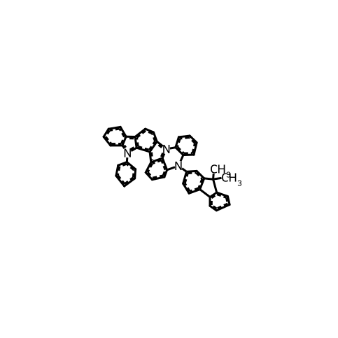 CC1(C)c2ccccc2-c2ccc(N3c4ccccc4-n4c5ccc6c7ccccc7n(-c7ccccc7)c6c5c5cccc3c54)cc21